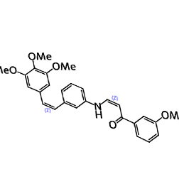 COc1cccc(C(=O)/C=C\Nc2cccc(/C=C\c3cc(OC)c(OC)c(OC)c3)c2)c1